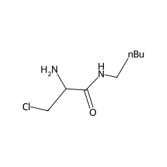 CCCCCNC(=O)C(N)CCl